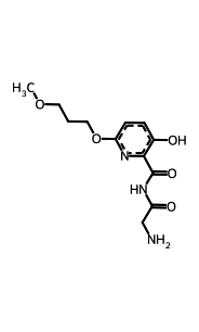 COCCCOc1ccc(O)c(C(=O)NC(=O)CN)n1